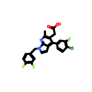 Cc1nc2c(ccn2Cc2ccc(F)c(F)c2)c(-c2ccc(Cl)c(F)c2)c1CC(=O)O